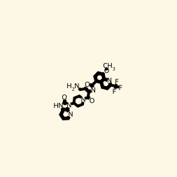 COc1ccc(-c2nc(C(=O)N3CCC(n4c(=O)[nH]c5cccnc54)CC3)c(CN)o2)c2ccc(C(F)(F)F)nc12